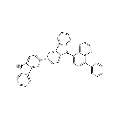 c1ccc(-c2ccc(-n3c4ccccc4c4cc(-c5ccc6[nH]c7ccccc7c6c5)ccc43)c3ccccc23)cc1